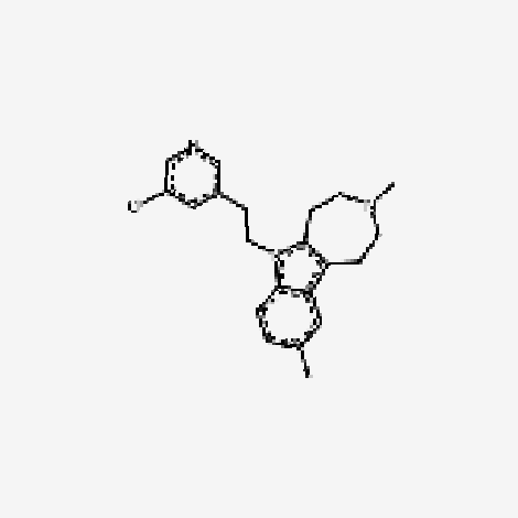 Cc1ccc2c(c1)c1c(n2CCc2cncc(Cl)c2)CCN(C)CC1